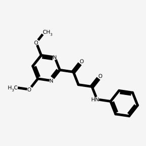 COc1cc(OC)nc(C(=O)CC(=O)Nc2ccccc2)n1